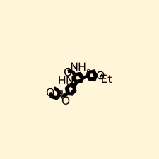 CCOc1ccc(-c2cc(C(N)=O)c3[nH]c4cc(C(=O)N5CCOCC5)ccc4c3c2)cc1